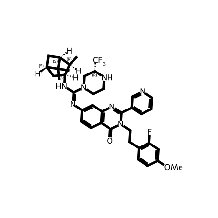 COc1ccc(CCn2c(-c3cccnc3)nc3cc(N=C(N[C@H]4C[C@@H]5C[C@@H]([C@H]4C)C5(C)C)N4CCN[C@@H](C(F)(F)F)C4)ccc3c2=O)c(F)c1